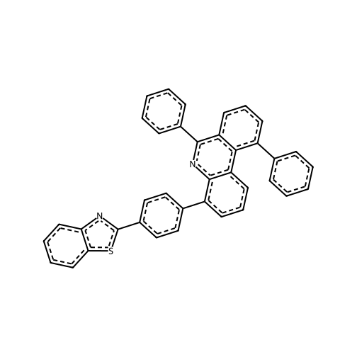 c1ccc(-c2nc3c(-c4ccc(-c5nc6ccccc6s5)cc4)cccc3c3c(-c4ccccc4)cccc23)cc1